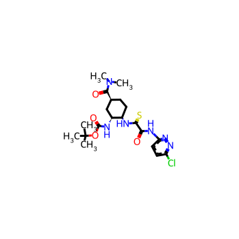 CN(C)C(=O)[C@H]1CC[C@H](NC(=S)C(=O)Nc2ccc(Cl)nn2)[C@H](NC(=O)OC(C)(C)C)C1